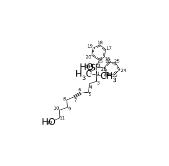 CC(C)(CCCC#CCCCCO)[Si](O)(c1ccccc1)c1ccccc1